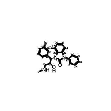 CNC[C@H](O)[C@H](c1cccc(F)c1)n1c(=O)n(-c2ccccc2)c2cccc(F)c21